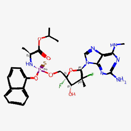 CNc1nc(N)nc2c1ncn2[C@@H]1O[C@](F)(CO[P@@](=S)(N[C@@H](C)C(=O)OC(C)C)Oc2cccc3ccccc23)[C@@H](O)[C@@]1(C)F